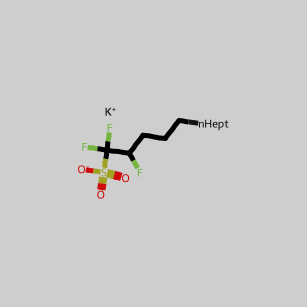 CCCCCCCCCCC(F)C(F)(F)S(=O)(=O)[O-].[K+]